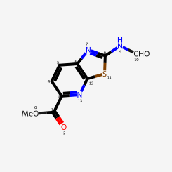 COC(=O)c1ccc2nc(NC=O)sc2n1